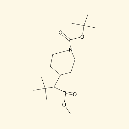 COC(=O)C(C1CCN(C(=O)OC(C)(C)C)CC1)C(C)(C)C